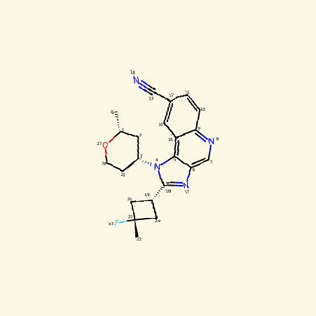 C[C@@H]1C[C@H](n2c3c(cnc4ccc(C#N)cc43)nc2[C@H]2C[C@@](C)(F)C2)CCO1